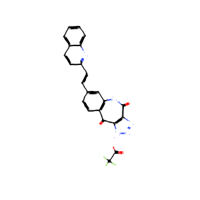 O=C(On1nnc2c(=O)[nH]c3cc(C=Cc4ccc5ccccc5n4)ccc3c(=O)c21)C(F)(F)F